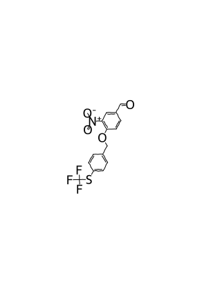 O=Cc1ccc(OCc2ccc(SC(F)(F)F)cc2)c([N+](=O)[O-])c1